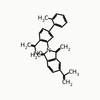 C=C(C)c1ccc2c(=C)n(-c3cc(-c4ccccc4C)ccc3C(=C)N=O)c(=C)c2c1